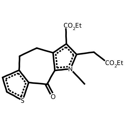 CCOC(=O)Cc1c(C(=O)OCC)c2c(n1C)C(=O)c1sccc1CC2